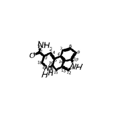 NC(=O)C1C=C2c3cccc4[nH]cc(c34)C[C@H]2NC1